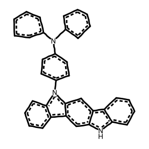 c1ccc(N(c2ccccc2)c2ccc(-n3c4ccccc4c4cc5[nH]c6ccccc6c5cc43)cc2)cc1